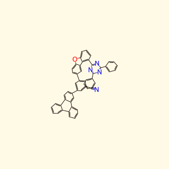 N#Cc1cc(-c2ccc3c4ccccc4c4ccccc4c3c2)cc(-c2ccc3oc4cccc(-c5nc(-c6ccccc6)nc(-c6ccccc6)n5)c4c3c2)c1